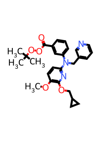 COc1ccc(N(Cc2cccnc2)c2cccc(C(=O)OOC(C)(C)C)c2)nc1OCC1CC1